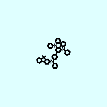 CC1(C)c2ccccc2-c2ccc(N(c3ccccc3)c3ccc(-c4cc(N(c5ccccc5)c5ccccc5)c5c6ccccc6n(-c6ccccc6)c5c4)cc3)cc21